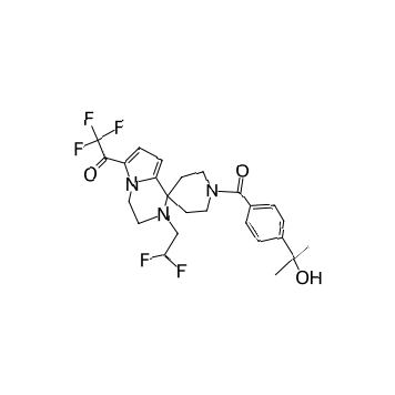 CC(C)(O)c1ccc(C(=O)N2CCC3(CC2)c2ccc(C(=O)C(F)(F)F)n2CCN3CC(F)F)cc1